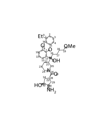 CCc1cccc(Oc2c(Cl)cccc2[C@](O)(CCCCOC)C2CCCN(C(=O)[C@H]3C[C@@H](N)[C@@H](O)C3)C2)c1